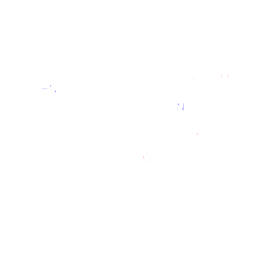 C=CC(=O)ON1C(=O)CCC1=O.C=CC1CNCCO1